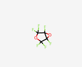 FC1(F)OC(F)(F)C2(F)OC12F